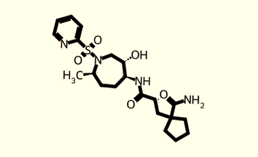 C[C@@H]1CC[C@H](NC(=O)[CH]CC2(C(N)=O)CCCC2)[C@@H](O)CN1S(=O)(=O)c1ccccn1